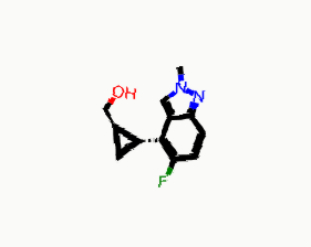 Cn1cc2c([C@@H]3C[C@H]3CO)c(F)ccc2n1